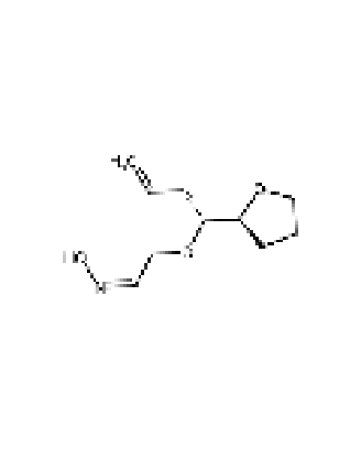 C=CC[C@@H](OC/C=N\O)[C@@H]1CCCO1